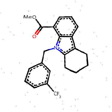 COC(=O)c1cccc2c3c(n(Cc4cccc(C(F)(F)F)c4)c12)CCCC3